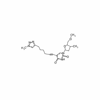 COCC1OC(n2cc(C#CCCCCc3cn(C)nn3)c(=O)[nH]c2=O)CC1C